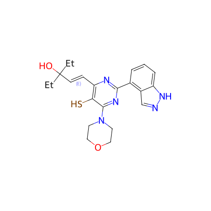 CCC(O)(/C=C/c1nc(-c2cccc3[nH]ncc23)nc(N2CCOCC2)c1S)CC